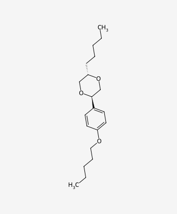 CCCCCOc1ccc([C@@H]2CO[C@@H](CCCCC)CO2)cc1